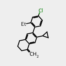 C=C1CCCc2cc(-c3ccc(Cl)cc3CC)c(C3CC3)cc21